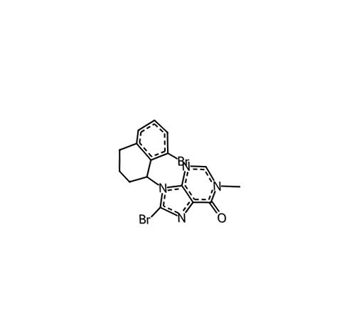 Cn1cnc2c(nc(Br)n2C2CCCc3cccc(Br)c32)c1=O